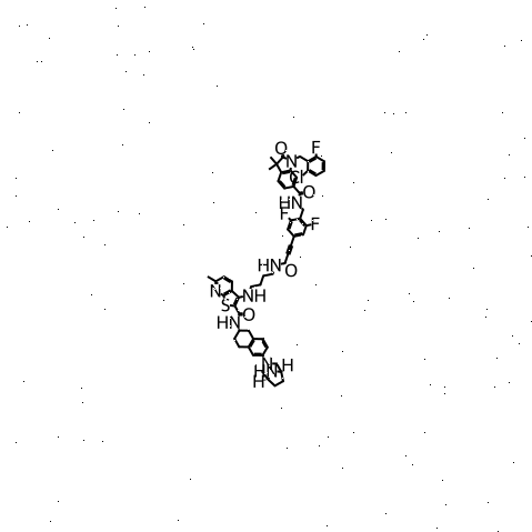 Cc1ccc2c(NCCCCNC(=O)C#Cc3cc(F)c(CNC(=O)c4ccc5c(c4)N(Cc4c(F)cccc4Cl)C(=O)C5(C)C)c(F)c3)c(C(=O)N[C@H]3CCc4cc(N5C[C@H]6CC[C@@H](C5)N6)ccc4C3)sc2n1